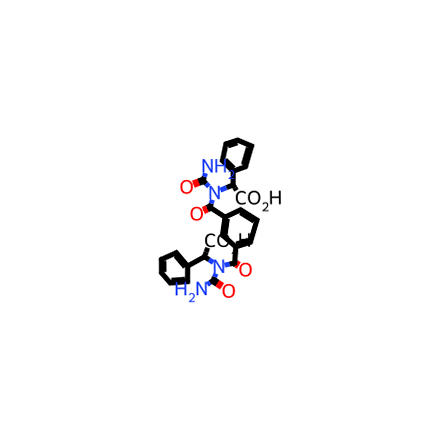 NC(=O)N(C(=O)c1cccc(C(=O)N(C(N)=O)C(C(=O)O)c2ccccc2)c1)C(C(=O)O)c1ccccc1